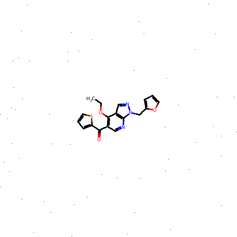 CCOc1c(C(=O)c2cccs2)cnc2c1cnn2Cc1ccco1